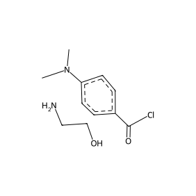 CN(C)c1ccc(C(=O)Cl)cc1.NCCO